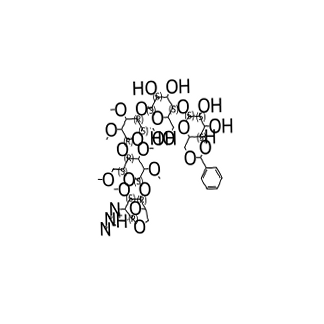 COC[C@@H]1O[C@@H](O[C@H]2C3CO[C@H](O3)C(N=[N+]=[N-])[C@@H]2OC)C(OC)C(OC)[C@@H]1O[C@H]1O[C@@H](CO)[C@@H](O[C@@H]2OC(CO)[C@@H](O[C@@H]3OC4COC(c5ccccc5)O[C@H]4C(O)[C@@H]3O)C(O)[C@@H]2O)C(OC)C1OC